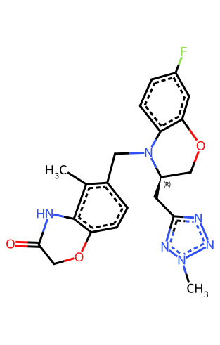 Cc1c(CN2c3ccc(F)cc3OC[C@H]2Cc2nnn(C)n2)ccc2c1NC(=O)CO2